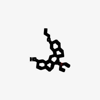 C=CCOc1ccc2ccc(OCC=C)c(Cc3c(OCC=C)ccc4ccc(O)cc34)c2c1